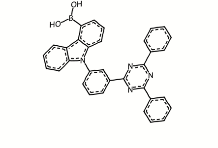 OB(O)c1cccc2c1c1ccccc1n2-c1cccc(-c2nc(-c3ccccc3)nc(-c3ccccc3)n2)c1